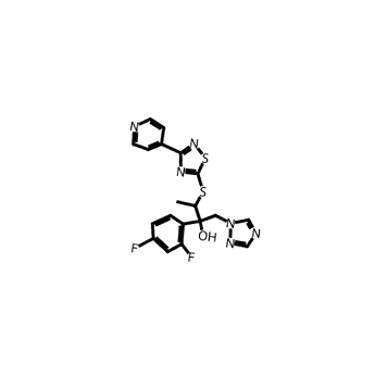 CC(Sc1nc(-c2ccncc2)ns1)C(O)(Cn1cncn1)c1ccc(F)cc1F